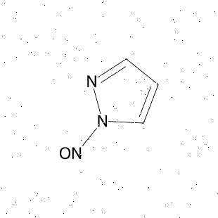 O=Nn1cccn1